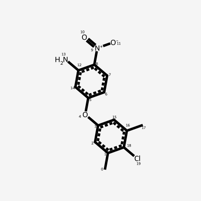 Cc1cc(Oc2ccc([N+](=O)[O-])c(N)c2)cc(C)c1Cl